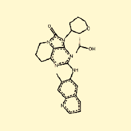 Cc1cc2ncccc2cc1Nc1nc2c3c(n1)n(C1CCCO[C@@H]1C(C)O)c(=O)n3CCC2